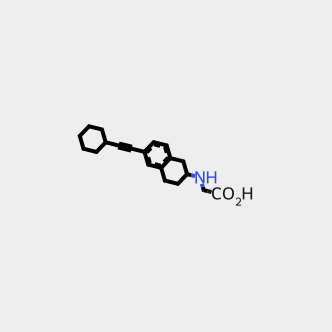 O=C(O)CNC1CCc2cc(C#CC3CCCCC3)ccc2C1